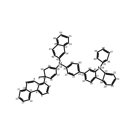 CC1(c2cccc3c2ccc2ccccc23)C=CC(N(c2ccc(-c3ccc4c5ccccc5n(-c5ccccc5)c4c3)cc2)c2ccc3ccccc3c2)=CC1